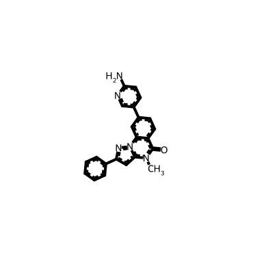 Cn1c(=O)c2ccc(-c3ccc(N)nc3)cc2n2nc(-c3ccccc3)cc12